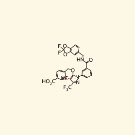 N#Cc1c(C(F)(F)F)nn(-c2cccc(C(=O)NCc3ccc4c(c3)OC(F)(F)O4)c2)c1OCc1ccc(C(=O)O)cc1